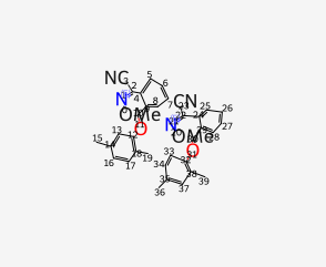 CO/N=C(/C#N)c1ccccc1COc1cc(C)ccc1C.CO/N=C(/C#N)c1ccccc1COc1ccc(C)cc1C